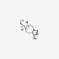 CC(C)C[C@@H]1[C@@H]2CCc3c(nnn3C(C)C)CC[C@@H]21